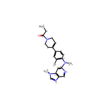 CCc1cc(C2=CCN(C(=O)COC)CC2)ccc1N(C)c1cc2c(cn1)ncn2C